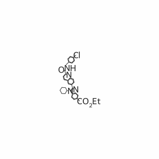 CCOC(=O)c1ccc2c(c1)nc(-c1ccc3nc(C(=O)NCc4ccc(Cl)cc4)ccc3c1)n2C1CCCCC1